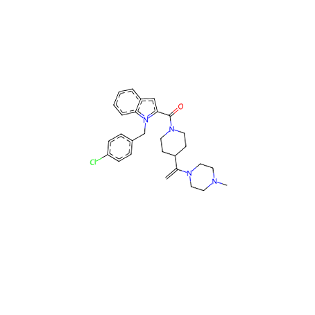 C=C(C1CCN(C(=O)c2cc3ccccc3n2Cc2ccc(Cl)cc2)CC1)N1CCN(C)CC1